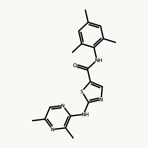 Cc1cc(C)c(NC(=O)c2cnc(Nc3ncc(C)nc3C)s2)c(C)c1